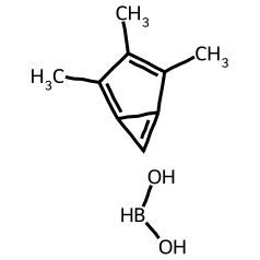 Cc1c2cc-2c(C)c1C.OBO